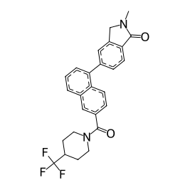 CN1Cc2cc(-c3cccc4cc(C(=O)N5CCC(C(F)(F)F)CC5)ccc34)ccc2C1=O